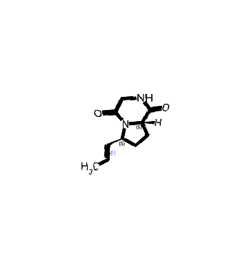 C/C=C/[C@@H]1CC[C@H]2C(=O)NCC(=O)N12